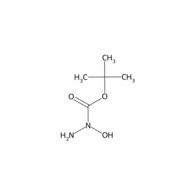 CC(C)(C)OC(=O)N(N)O